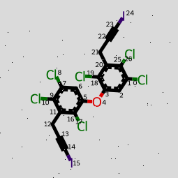 Clc1cc(Oc2cc(Cl)c(Cl)c(CC#CI)c2Cl)c(Cl)c(CC#CI)c1Cl